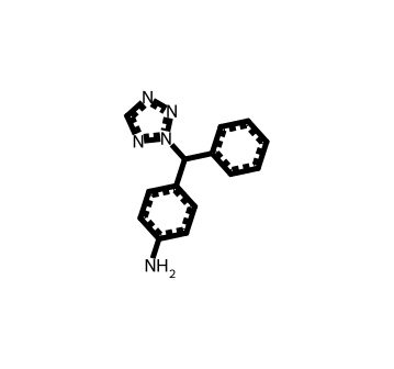 Nc1ccc(C(c2ccccc2)n2ncnn2)cc1